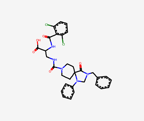 O=C(NC(CNC(=O)N1CCC2(CC1)C(=O)N(Cc1ccccc1)CN2c1ccccc1)C(=O)O)c1c(Cl)cccc1Cl